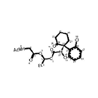 CCC(OC(=O)CNC(C)=O)OC(=O)N(C)[C@]1(c2ccccc2Cl)CCCCC1=O